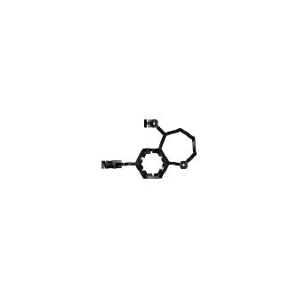 N#Cc1ccc2c(c1)C(O)CCCO2